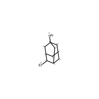 C[CH]C1C2CC3CC1CC(CCC)(C3)C2